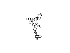 CC(C)(C)OC(=O)N1CCC(C(C(=O)NO)N2CCC(C)(c3ccc(OCc4ccnc5ccccc45)cc3)C2=O)CC1